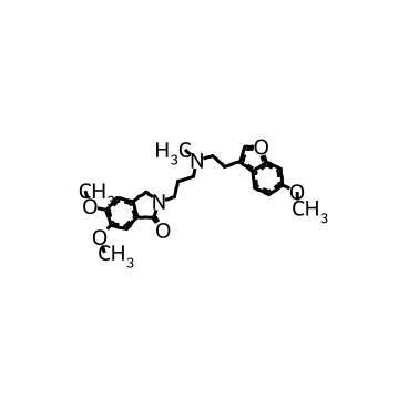 COc1ccc2c(CCN(C)CCCN3Cc4cc(OC)c(OC)cc4C3=O)coc2c1